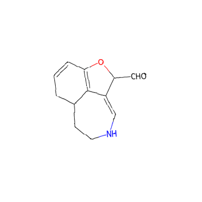 O=CC1OC2=C3C1=CNCCC3CC=C2